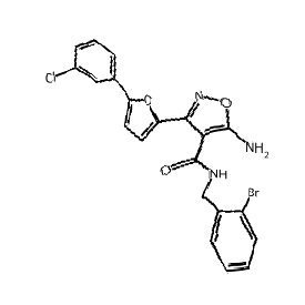 Nc1onc(-c2ccc(-c3cccc(Cl)c3)o2)c1C(=O)NCc1ccccc1Br